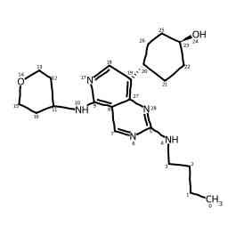 CCCCNc1ncc2c(NC3CCOCC3)ncc([C@H]3CC[C@H](O)CC3)c2n1